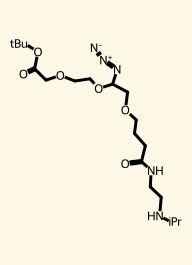 CC(C)NCCNC(=O)CCCOCC(N=[N+]=[N-])OCCOCC(=O)OC(C)(C)C